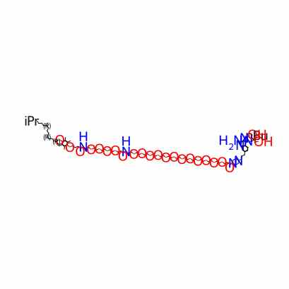 CCCCc1nc2c(N)nc3cc(CCCN4CCN(C(=O)CCOCCOCCOCCOCCOCCOCCOCCOCCOCCOCCOCCOCCNC(=O)CCOCCOCCOCCOCCNC(=O)CCCOc5c(C)c(C)c6c(c5C)CC[C@@](C)(CCC[C@H](C)CCC[C@H](C)CCCC(C)C)O6)CC4)ccc3c2n1CC(C)(CO)CO